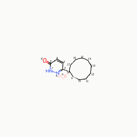 BC1(c2ccc(=O)[nH]n2)CCCCCCCCC1